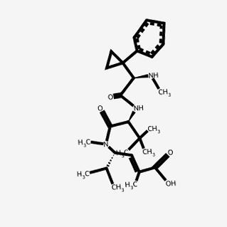 CN[C@@H](C(=O)N[C@H](C(=O)N(C)[C@H](C=C(C)C(=O)O)C(C)C)C(C)(C)C)C1(c2ccccc2)CC1